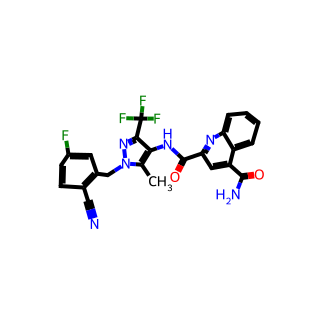 Cc1c(NC(=O)c2cc(C(N)=O)c3ccccc3n2)c(C(F)(F)F)nn1Cc1cc(F)ccc1C#N